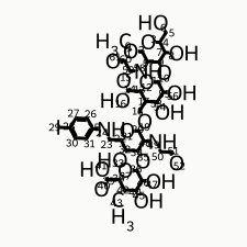 COC1OC(CO)C(O)C(OC2OC(C(=O)O)C(COC3OC(CNc4ccc(I)cc4)C(O)C(OC4OC(C(=O)O)C(C)C(O)C4O)C3NCC=O)C(O)C2O)C1NCC=O